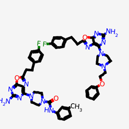 Cc1cccc(NC(=O)N2CCN(c3nc(N)nc4oc(CCc5ccc(F)cc5)nc34)CC2)c1.Nc1nc(N2CCN(CCOc3ccccc3)CC2)c2nc(CCc3ccc(F)cc3)oc2n1